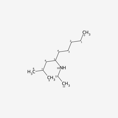 CCCCCC(CC(C)C)NCC